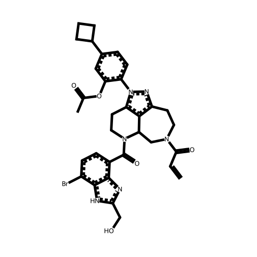 C=CC(=O)N1CCc2nn(-c3ccc(C4CCC4)cc3OC(C)=O)c3c2C(C1)N(C(=O)c1ccc(Br)c2[nH]c(CO)nc12)CC3